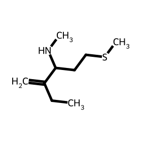 C=C(CC)C(CCSC)NC